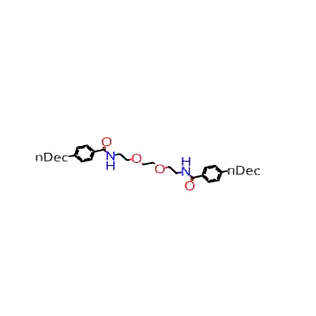 CCCCCCCCCCc1ccc(C(=O)NCCOCCOCCNC(=O)c2ccc(CCCCCCCCCC)cc2)cc1